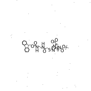 COC(=O)[C@H](C)n1cc(SCC(=O)NCCNC(=O)OCC2c3ccccc3-c3ccccc32)nc1[C@H](C)NC(=O)OC(C)(C)C